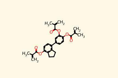 C=C(C)C(=O)Oc1ccc(-c2ccc(OC(=O)C(=C)C)c3c2CCC3)cc1OC(=O)C(=C)C